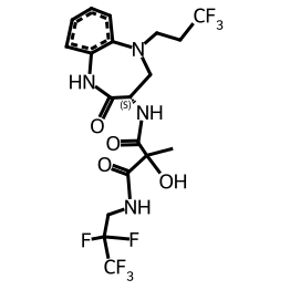 CC(O)(C(=O)NCC(F)(F)C(F)(F)F)C(=O)N[C@H]1CN(CCC(F)(F)F)c2ccccc2NC1=O